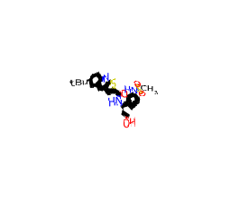 CC(C)(C)[C@H]1CCc2nc3sc(C(=O)N[C@H](CCO)c4cccc(NS(C)(=O)=O)c4)cc3cc2C1